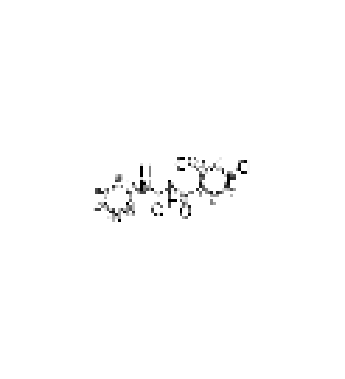 O=C(NC(=O)c1ccc(Cl)cc1Cl)Nc1cccnn1